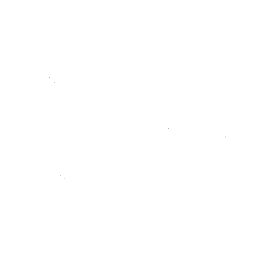 Cc1cncn1-c1ccc(N)c(CN)c1